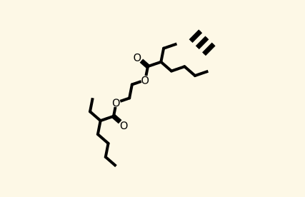 C=C.C=C.C=C.CCCCC(CC)C(=O)OCCOC(=O)C(CC)CCCC